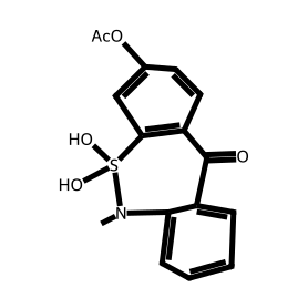 CC(=O)Oc1ccc2c(c1)S(O)(O)N(C)c1ccccc1C2=O